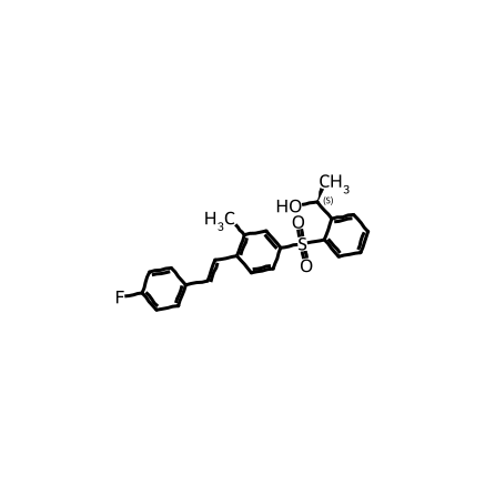 Cc1cc(S(=O)(=O)c2ccccc2[C@H](C)O)ccc1C=Cc1ccc(F)cc1